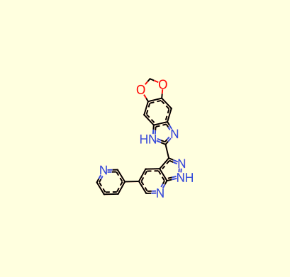 c1cncc(-c2cnc3[nH]nc(-c4nc5cc6c(cc5[nH]4)OCO6)c3c2)c1